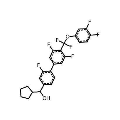 OC(c1ccc(-c2cc(F)c(C(F)(F)Oc3ccc(F)c(F)c3)c(F)c2)c(F)c1)C1CCCC1